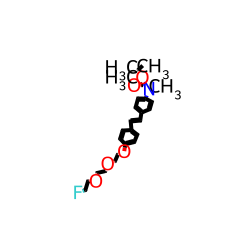 CN(C(=O)OC(C)(C)C)c1ccc(/C=C/c2ccc(OCCOCCOCCF)cc2)cc1